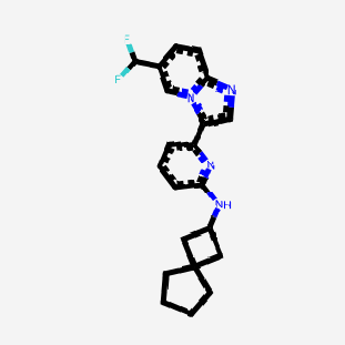 FC(F)c1ccc2ncc(-c3cccc(NC4CC5(CCCC5)C4)n3)n2c1